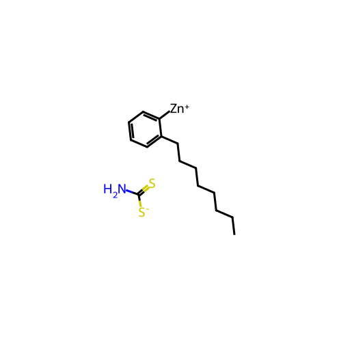 CCCCCCCCc1cccc[c]1[Zn+].NC(=S)[S-]